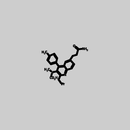 Cc1ccc(-c2c(N(C)C(=O)O)c(CC(C)C)nc3ccc(CCC(N)=O)cc23)cc1